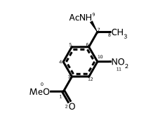 COC(=O)c1ccc([C@H](C)NC(C)=O)c([N+](=O)[O-])c1